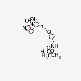 CC(C)(C)OC(=O)NCCc1ccc(OCCC=Cc2ccc(N(C(=O)O)C3CN4CCC3CC4)c(-c3ccccc3)c2)cc1